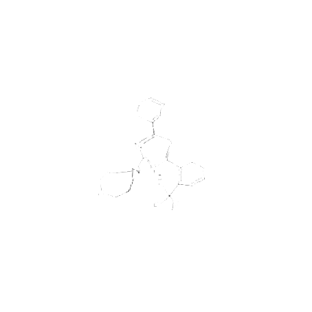 FC(F)(F)C1=C(c2cc(-c3ccccc3)nc(N3CCOCC3)n2)[CH]CC=C1